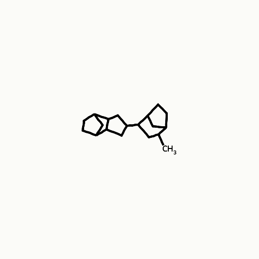 CC1CC(C2CC3C4CCC(C4)C3C2)C2CCC1C2